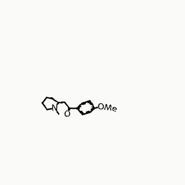 COc1ccc(C(=O)CC2CCCCN2C)cc1